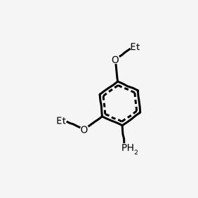 CCOc1ccc(P)c(OCC)c1